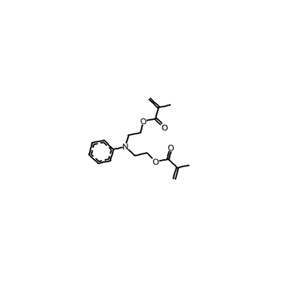 C=C(C)C(=O)OCCN(CCOC(=O)C(=C)C)c1ccccc1